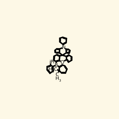 CC(C)c1ccccc1B(C1=CC=CC=CC1(C)C)c1cccc2c1Oc1ccccc1C21c2ccccc2N(c2ccccc2)c2ccccc21